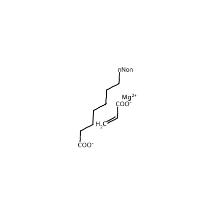 C=CC(=O)[O-].CCCCCCCCCCCCCCCC(=O)[O-].[Mg+2]